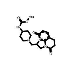 CC(C)(C)OC(=O)NC1CCN(CC2CN3C(=O)CCc4ccc(=O)n2c43)CC1